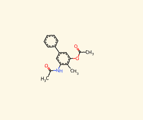 CC(=O)Nc1cc(-c2ccccc2)cc(OC(C)=O)c1C